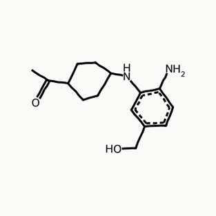 CC(=O)C1CCC(Nc2cc(CO)ccc2N)CC1